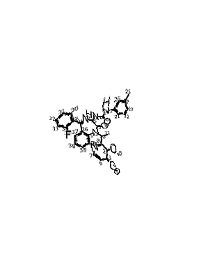 COC1C(=C=O)C=CN=C1C(C)N1C(=O)C(NC(=O)Nc2cccc(C)c2)N=C(c2ccccc2F)c2ccccc21